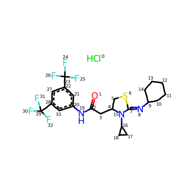 Cl.O=C(CC1CSC(=NC2CCCCC2)N1C1CC1)Nc1cc(C(F)(F)F)cc(C(F)(F)F)c1